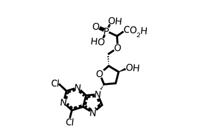 O=C(O)C(OC[C@H]1O[C@@H](n2cnc3c(Cl)nc(Cl)nc32)C[C@@H]1O)P(=O)(O)O